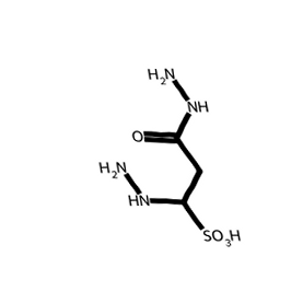 NNC(=O)CC(NN)S(=O)(=O)O